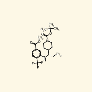 CC[C@H](Nc1cc(C(=O)OC)ccc1C(F)(F)F)C1CCN(C(=O)OC(C)(C)C)CC1